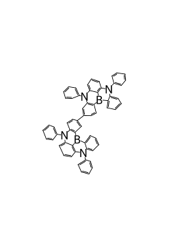 c1ccc(N2c3ccccc3B3c4cc(-c5ccc6c(c5)N(c5ccccc5)c5cccc7c5B6c5ccccc5N7c5ccccc5)ccc4N(c4ccccc4)c4cccc2c43)cc1